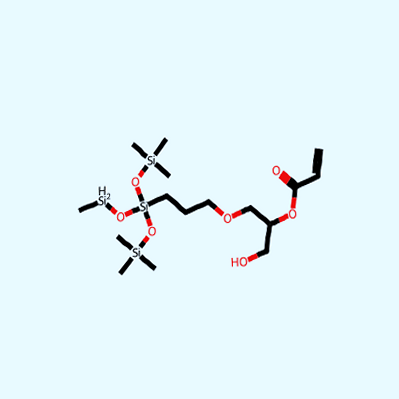 C=CC(=O)OC(CO)COCCC[Si](O[SiH2]C)(O[Si](C)(C)C)O[Si](C)(C)C